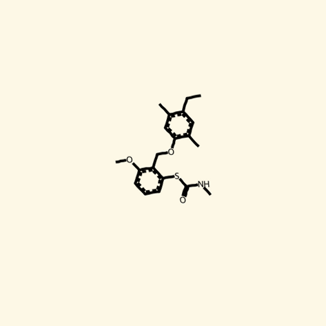 CCc1cc(C)c(OCc2c(OC)cccc2SC(=O)NC)cc1C